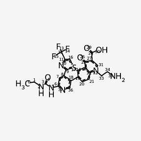 CCNC(=O)Nc1cc(-c2nc(C(F)(F)F)cs2)c(-c2ccc3c(c2)c(=O)c(C(=O)O)cn3CCN)cn1